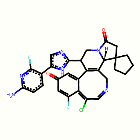 Nc1ccc(-c2cnc(C3CN4C(=O)CC5(CCCC5)[C@@H]4C4=C3C3=CC(=O)C=C(F)C3=C(Cl)C=NC4)[nH]2)c(F)n1